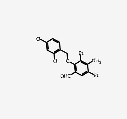 CCc1cc(C=O)c(OCc2ccc(Cl)cc2Cl)c(CC)c1N